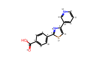 O=C(O)c1ccc(-c2nc(-c3cccnc3)cs2)cc1